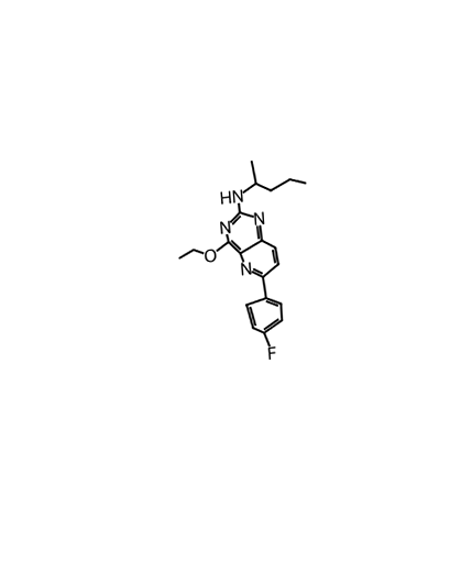 CCCC(C)Nc1nc(OCC)c2nc(-c3ccc(F)cc3)ccc2n1